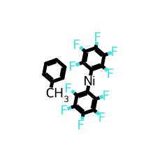 Cc1ccccc1.Fc1c(F)c(F)[c]([Ni][c]2c(F)c(F)c(F)c(F)c2F)c(F)c1F